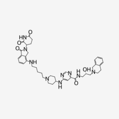 O=C1CCC(N2Cc3c(NCCCCCN4CCC(Nc5cc(C(=O)NC[C@H](O)CN6CCc7ccccc7C6)ncn5)CC4)cccc3C2=O)C(=O)N1